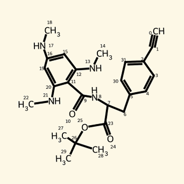 C#Cc1ccc(CC(NC(=O)c2c(NC)cc(NC)cc2NC)C(=O)OC(C)(C)C)cc1